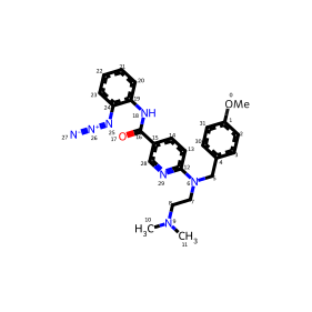 COc1ccc(CN(CCN(C)C)c2ccc(C(=O)Nc3ccccc3N=[N+]=[N-])cn2)cc1